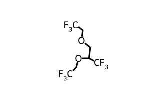 FC(F)(F)COCC(OCC(F)(F)F)C(F)(F)F